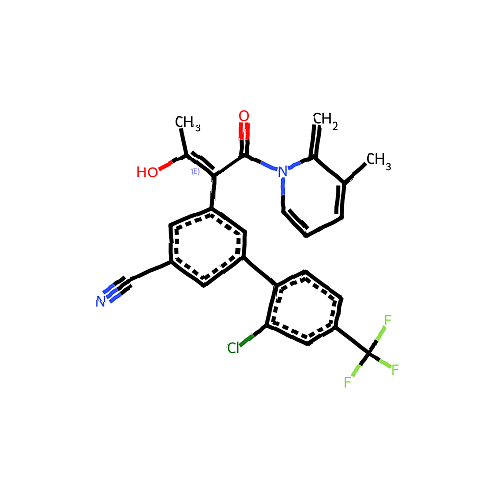 C=C1C(C)=CC=CN1C(=O)/C(=C(\C)O)c1cc(C#N)cc(-c2ccc(C(F)(F)F)cc2Cl)c1